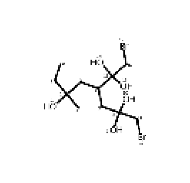 CCC(C)(O)CC(CC(O)(O)CBr)C(O)(O)CBr